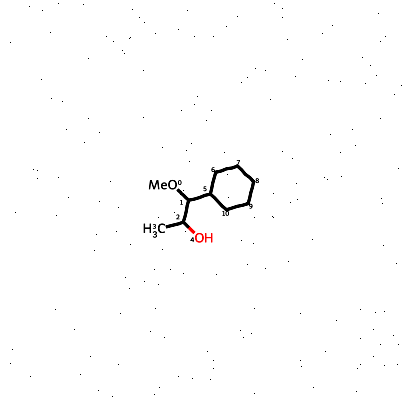 COC(C(C)O)C1CCCCC1